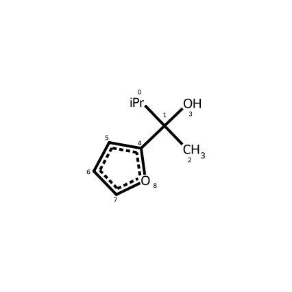 CC(C)C(C)(O)c1ccco1